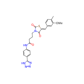 COc1cc(/C=C2\SC(=O)N(CCCC(=O)Nc3ccc(-c4nnn[nH]4)cc3)C2=O)ccc1C